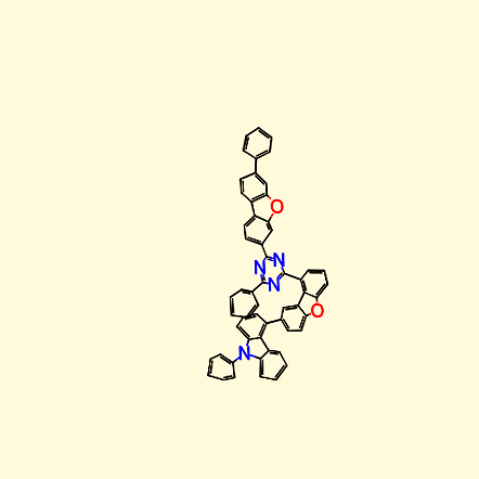 c1ccc(-c2ccc3c(c2)oc2cc(-c4nc(-c5ccccc5)nc(-c5cccc6oc7ccc(-c8cccc9c8c8ccccc8n9-c8ccccc8)cc7c56)n4)ccc23)cc1